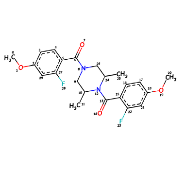 COc1ccc(C(=O)N2CC(C)N(C(=O)c3ccc(OC)cc3F)C(C)C2)c(F)c1